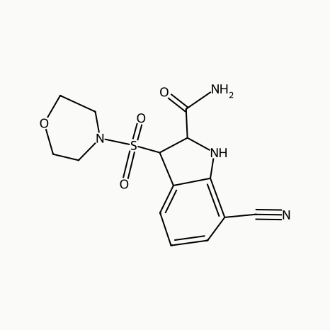 N#Cc1cccc2c1NC(C(N)=O)C2S(=O)(=O)N1CCOCC1